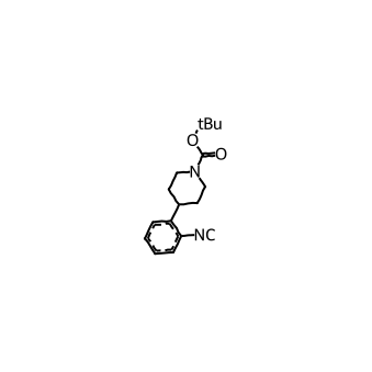 [C-]#[N+]c1ccccc1C1CCN(C(=O)OC(C)(C)C)CC1